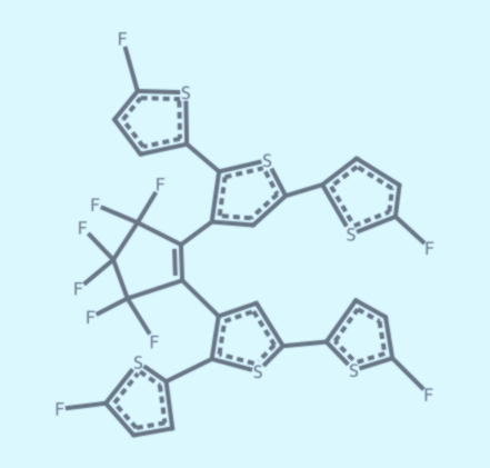 Fc1ccc(-c2cc(C3=C(c4cc(-c5ccc(F)s5)sc4-c4ccc(F)s4)C(F)(F)C(F)(F)C3(F)F)c(-c3ccc(F)s3)s2)s1